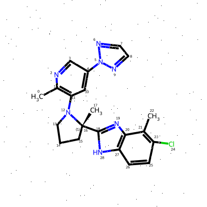 Cc1ncc(-n2nccn2)[c]c1N1CCC[C@@]1(C)c1nc2c(C)c(Cl)ccc2[nH]1